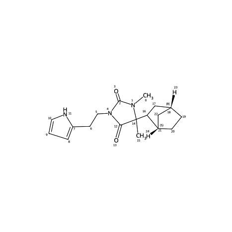 CN1C(=O)N(CCc2ccc[nH]2)C(=O)C1(C)C1C[C@@H]2CC[C@H]1C2